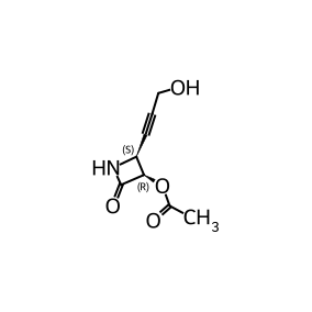 CC(=O)O[C@H]1C(=O)N[C@H]1C#CCO